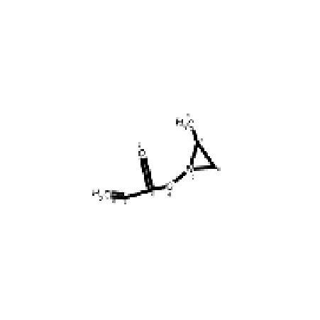 C=CC(=O)ON1CC1C